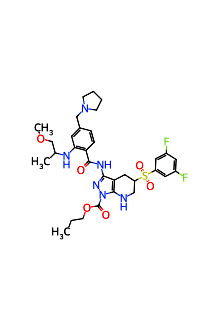 CCCOC(=O)n1nc(NC(=O)c2ccc(CN3CCCC3)cc2NC(C)COC)c2c1NCC(S(=O)(=O)c1cc(F)cc(F)c1)C2